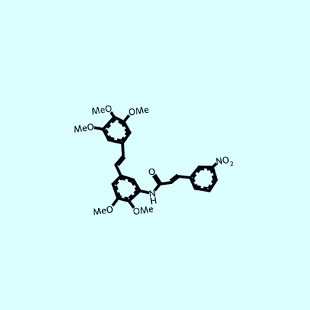 COc1cc(C=Cc2cc(OC)c(OC)c(OC)c2)cc(NC(=O)/C=C/c2cccc([N+](=O)[O-])c2)c1OC